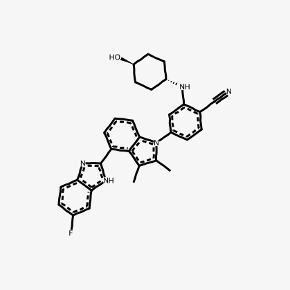 Cc1c(C)n(-c2ccc(C#N)c(N[C@H]3CC[C@H](O)CC3)c2)c2cccc(-c3nc4ccc(F)cc4[nH]3)c12